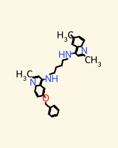 Cc1ccc2nc(C)cc(NCCCCCCNc3cc(C)nc4ccc(OCc5ccccc5)cc34)c2c1